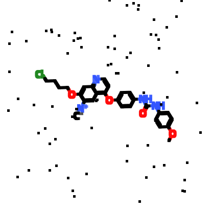 [C-]#[N+]c1cc2c(Oc3ccc(NC(=O)Nc4ccc(OC)cc4)cc3)ccnc2cc1OCCCCCl